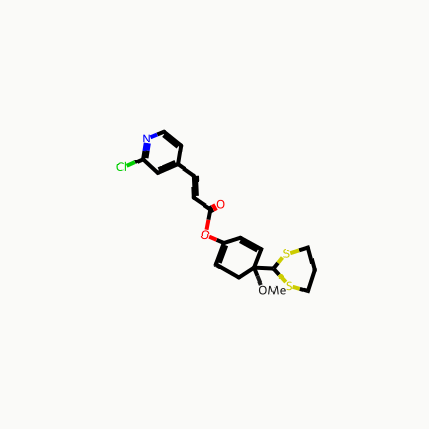 COC1(C2SCCCS2)C=CC(OC(=O)/C=C/c2ccnc(Cl)c2)=CC1